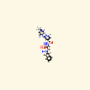 CC(=O)N1CCC(Nc2cc(C(=O)NC[C@H](O)CNC3Cc4ccccc4C3)ccn2)CC1